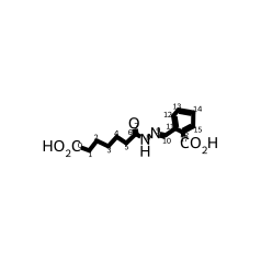 O=C(O)CCCCCC(=O)NN=Cc1ccccc1C(=O)O